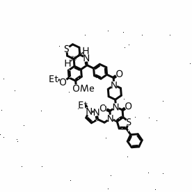 CCOc1cc2c(cc1OC)C(c1ccc(C(=O)N3CCC(n4c(=O)c5sc(-c6ccccc6)cc5n(Cc5ccn(CC)n5)c4=O)CC3)cc1)=N[C@@H]1CCSC[C@H]21